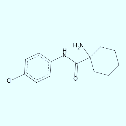 NC1(C(=O)Nc2ccc(Cl)cc2)CCCCC1